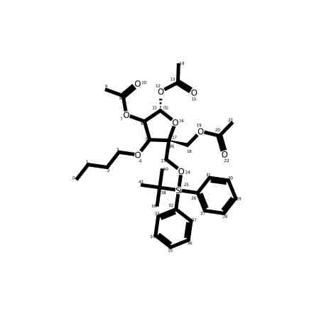 CCCCOC1C(OC(C)=O)[C@H](OC(C)=O)O[C@]1(COC(C)=O)CO[Si](c1ccccc1)(c1ccccc1)C(C)(C)C